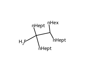 CCCCCCCC(CCCCCC)C(P)(CCCCCCC)CCCCCCC